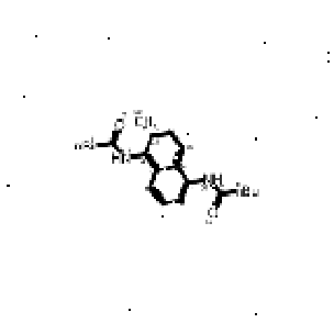 CCCCC(=O)NC1=c2cccc(NC(=O)CCCC)c2=CC[C@H]1C